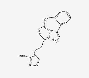 CCCCc1nccn1CCc1ccc2c(c1)C(=CC(=O)O)c1ccccc1CO2